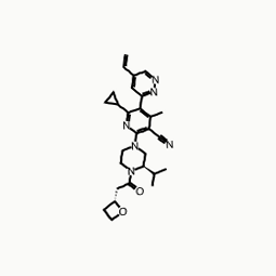 C=Cc1cnnc(-c2c(C3CC3)nc(N3CCN(C(=O)C[C@H]4CCO4)[C@H](C(C)C)C3)c(C#N)c2C)c1